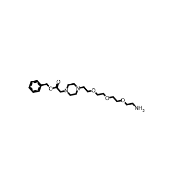 NCCOCCOCCOCCN1CCN(CC(=O)OCc2ccccc2)CC1